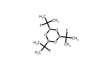 CC(C)(F)B1OB(C(C)(C)F)OB(C(C)(C)F)O1